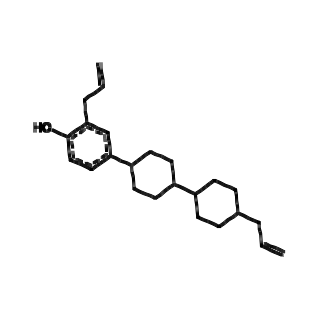 C=CCc1cc(C2CCC(C3CCC(CC=C)CC3)CC2)ccc1O